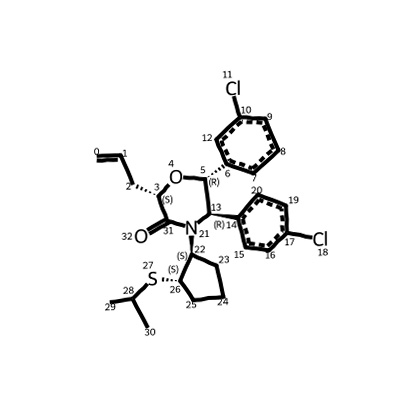 C=CC[C@@H]1O[C@H](c2cccc(Cl)c2)[C@@H](c2ccc(Cl)cc2)N([C@H]2CCC[C@@H]2SC(C)C)C1=O